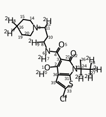 [2H]Oc1c(C(=O)N([2H])C([2H])CC([2H])N2CCC([2H])([2H])CC2)c(=O)n(C([2H])(C)C([2H])([2H])[2H])c2sc(Cl)cc12